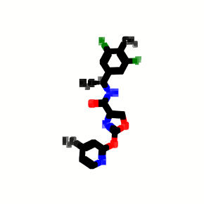 Cc1c(F)cc([C@@H](C)NC(=O)c2coc(Oc3cc(C(F)(F)F)ccn3)n2)cc1F